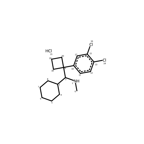 CNC(C1CCCCC1)C1(c2ccc(Cl)c(Cl)c2)CCC1.Cl